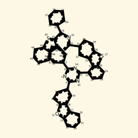 c1ccc(-c2nc(-c3ccc4oc5ccccc5c4c3)nc(-c3cccc4sc5ccc(-c6nc(-c7ccccc7)c7sc8ccccc8c7n6)cc5c34)n2)cc1